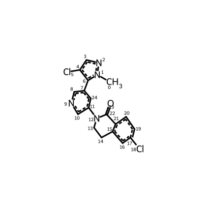 Cn1ncc(Cl)c1-c1cncc(N2CCc3cc(Cl)ccc3C2=O)c1